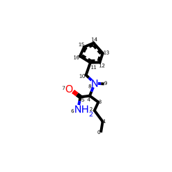 CCCCC(C(N)=O)N(C)Cc1ccccc1